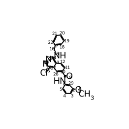 COc1cccc(NC(=O)c2ccc3c(NCc4ccccc4)nnc(Cl)c3c2)c1